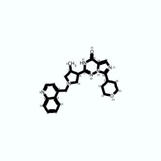 CC1CN(Cc2ccnc3ccccc23)CC1c1nn2c(C3CCOCC3)ncc2c(=O)[nH]1